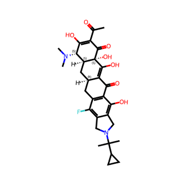 CC(=O)C1=C(O)[C@@H](N(C)C)[C@@H]2C[C@@H]3Cc4c(F)c5c(c(O)c4C(=O)C3=C(O)[C@]2(O)C1=O)CN(C(C)(C)C1CC1)C5